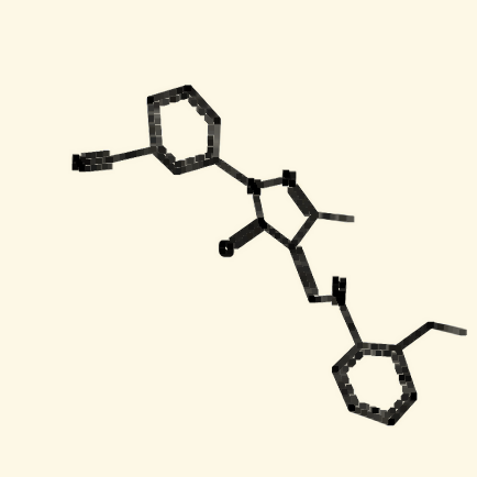 CCc1ccccc1N/C=C1/C(=O)N(c2cccc(C#N)c2)N=C1C